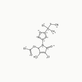 CCC(=O)OC1C(C)=C(Cl)C(=O)N1c1cc(C(C)(CC)CC#N)on1